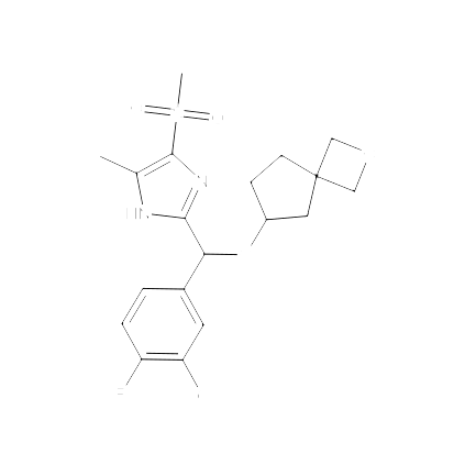 Cc1[nH]c(C(OC2CCC3(COC3)C2)c2ccc(F)c(Cl)c2)nc1S(C)(=O)=O